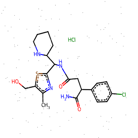 Cc1nc(C(NC(=O)CC(C(N)=O)c2ccc(Cl)cc2)C2CCCCN2)sc1CO.Cl